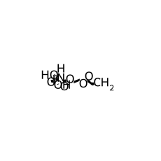 C=CC(=O)OCCOC(=O)NP(=O)(O)O